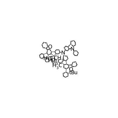 CC(C)(C)c1ccccc1-c1cc2c(c3c1oc1ccccc13)-c1ccc(N(c3ccc4c(c3)C(C)(C)c3c5c(c6c(oc7ccccc76)c3-4)-c3ccccc3C5(C)C)c3ccc4c5ccccc5n(-c5ccccc5)c4c3)cc1C2(C)C